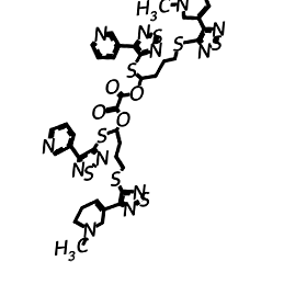 CN1CCC=C(c2nsnc2SCCCC(OC(=O)C(=O)OC(CCCSc2nsnc2C2=CCCN(C)C2)Sc2nsnc2-c2cccnc2)Sc2nsnc2-c2cccnc2)C1